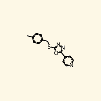 Cc1ccc(CSc2nnc(-c3ccncc3)o2)cc1